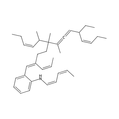 C/C=C\C=C/Nc1ccccc1C=C(/C=C\C)CCC(C)(C(C)=C=CC(/C=C\CC)CC)C(C)/C=C\CC